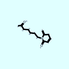 C=C1CC=CC(=O)N1CCCCCC(C)=O